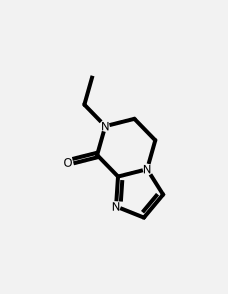 CCN1CCn2ccnc2C1=O